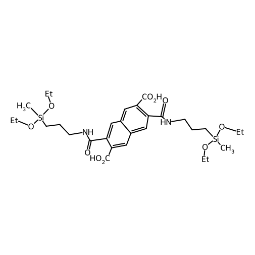 CCO[Si](C)(CCCNC(=O)c1cc2cc(C(=O)O)c(C(=O)NCCC[Si](C)(OCC)OCC)cc2cc1C(=O)O)OCC